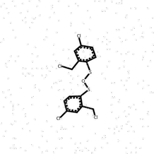 ClCc1cc(Cl)ccc1SOSc1ccc(Cl)cc1CCl